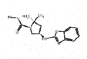 CC(C)(C)OC(=O)N1C[C@H](Nc2nc3ccccc3o2)C[C@@]1(C)C(=O)O